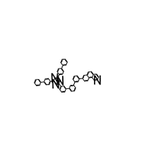 c1ccc(-c2ccc(-c3nc(-c4ccc(-c5ccccc5)cc4)nc(-c4cccc(-c5cccc(-c6cccc(-c7ccc8c(ccc9ccncc98)c7)c6)c5)c4)n3)cc2)cc1